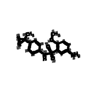 COc1ccc(N)cc1S(=O)(=O)Nc1ccc(C2(C)N=N2)cc1